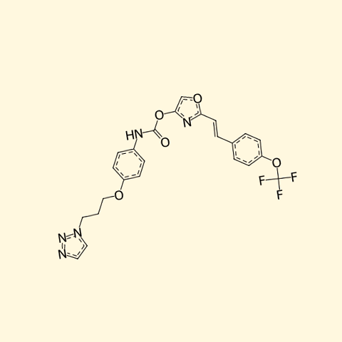 O=C(Nc1ccc(OCCCn2ccnn2)cc1)Oc1coc(C=Cc2ccc(OC(F)(F)F)cc2)n1